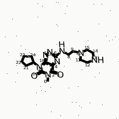 Cn1c(=O)c2nc(NCCN3CCNCC3)nnc2n(C2CCCC2)c1=O